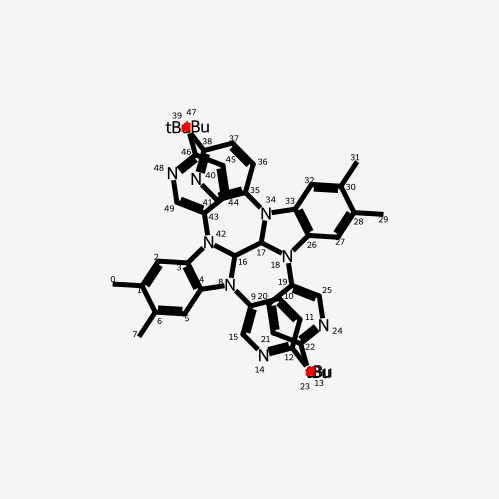 Cc1cc2c(cc1C)N(c1ccc(C(C)(C)C)nc1)C(C1N(c3ccc(C(C)(C)C)nc3)c3cc(C)c(C)cc3N1c1ccc(C(C)(C)C)nc1)N2c1ccc(C(C)(C)C)nc1